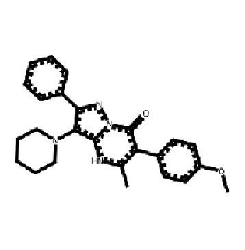 COc1ccc(-c2c(C)[nH]c3c(N4CCCCC4)c(-c4ccccc4)nn3c2=O)cc1